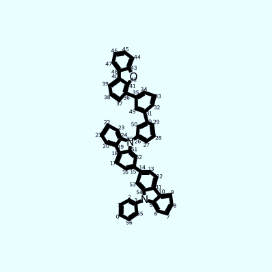 c1ccc(-n2c3ccccc3c3ccc(-c4ccc5c6ccccc6n(-c6cccc(-c7cccc(-c8cccc9c8oc8ccccc89)c7)c6)c5c4)cc32)cc1